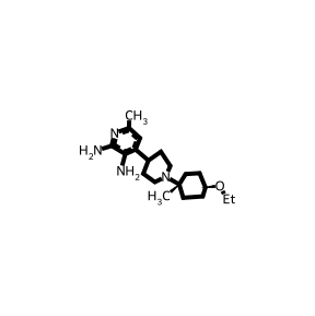 CCO[C@H]1CC[C@](C)(N2CCC(c3cc(C)nc(N)c3N)CC2)CC1